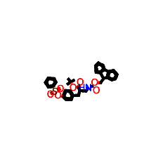 CC(C)(C)OC(=O)C(CNC(=O)OCC1c2ccccc2-c2ccccc21)Cc1ccc(OS(=O)(=O)c2ccccc2)cc1